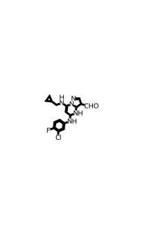 O=CC1C=NN2C(NCC3CC3)=CC(Nc3ccc(F)c(Cl)c3)NC12